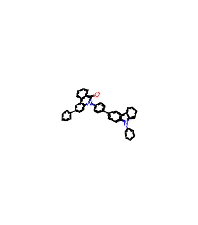 O=c1c2ccccc2c2cc(-c3ccccc3)ccc2n1-c1ccc(-c2ccc3c(c2)c2ccccc2n3-c2ccccc2)cc1